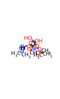 CC(=O)N[C@H]1[C@H](OCc2cn(C(C)C)nn2)O[C@H](CO)[C@H](O)[C@@H]1OCOC(=O)C(C)(C)C